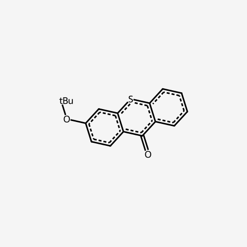 CC(C)(C)Oc1ccc2c(=O)c3ccccc3sc2c1